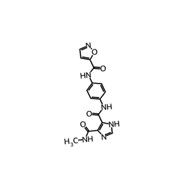 CNC(=O)c1nc[nH]c1C(=O)Nc1ccc(NC(=O)c2ccno2)cc1